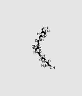 N[C@@H](CO)C(=O)NCC(=O)NCC(=O)N[C@@H](CO)C(=O)NCC(=O)NCC(=O)N[C@@H](CO)C(=O)O